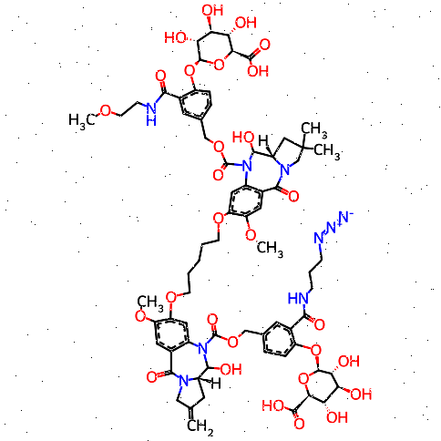 C=C1C[C@H]2C(O)N(C(=O)OCc3ccc(O[C@@H]4O[C@H](C(=O)O)[C@@H](O)[C@H](O)[C@H]4O)c(C(=O)NCCCN=[N+]=[N-])c3)c3cc(OCCCCCOc4cc5c(cc4OC)C(=O)N4CC(C)(C)C[C@H]4C(O)N5C(=O)OCc4ccc(O[C@@H]5O[C@H](C(=O)O)[C@@H](O)[C@H](O)[C@H]5O)c(C(=O)NCCOC)c4)c(OC)cc3C(=O)N2C1